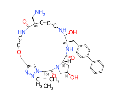 CC(C)(C)[C@H]1C(=O)N2C[C@H](O)C[C@H]2C(=O)N[C@H](Cc2ccc(-c3ccccc3)cc2)C(O)NCCC[C@H](CN)C(=O)NCCOCc2cn1nn2